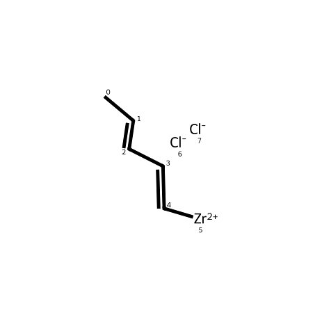 CC=CC=[CH][Zr+2].[Cl-].[Cl-]